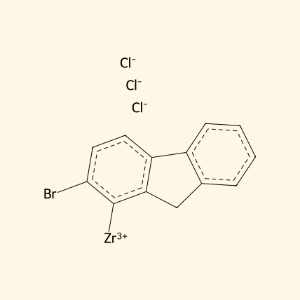 Brc1ccc2c([c]1[Zr+3])Cc1ccccc1-2.[Cl-].[Cl-].[Cl-]